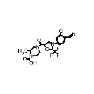 CC1CN(C(=O)C2CN(c3ccc(C#N)c(Cl)c3)C(C(F)(F)F)O2)CCN1C(=O)O